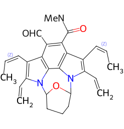 C=Cc1c(/C=C\C)c2c(C=O)c(C(=O)NC)c3c(/C=C\C)c(C=C)n4c3c2n1C1CCCC4O1